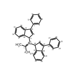 C[C](C)=[Ru]([CH]1C=C(c2ccccc2)c2ccccc21)[CH]1C=C(c2ccccc2)c2ccccc21